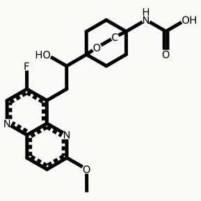 COc1ccc2ncc(F)c(CC(O)C34CCC(NC(=O)O)(CC3)CO4)c2n1